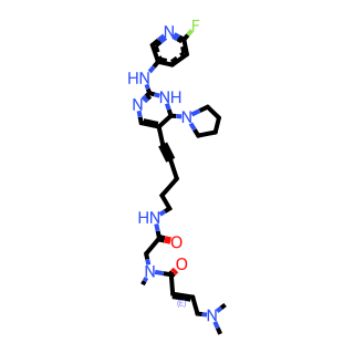 CN(C)C/C=C/C(=O)N(C)CC(=O)NCCCC#CC1=CN=C(Nc2ccc(F)nc2)NC1N1CCCC1